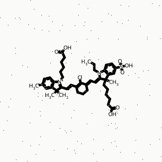 CCCN1/C(=C\C=C2/CCCC(/C=C/C3=[N+](CCCCCC(=O)O)c4ccc(C)cc4C3(C)C)=C2Cl)C(C)(CCCCCC(=O)O)c2cc(S(=O)(=O)O)ccc21